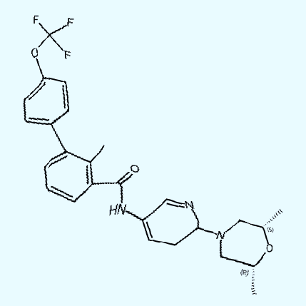 Cc1c(C(=O)NC2=CCC(N3C[C@@H](C)O[C@@H](C)C3)N=C2)cccc1-c1ccc(OC(F)(F)F)cc1